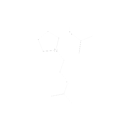 CC(C)N[C@H]1CCCN1CCOC(C)C